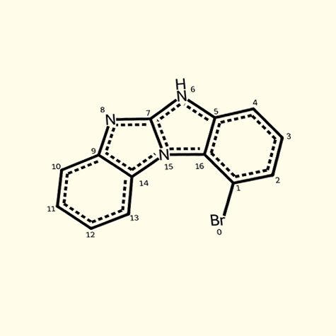 Brc1cccc2[nH]c3nc4ccccc4n3c12